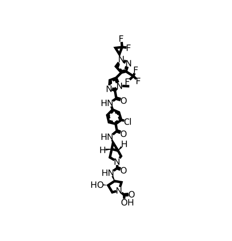 Cn1c(-c2cn([C@@H]3CC3(F)F)nc2C(F)(F)F)cnc1C(=O)Nc1ccc(C(=O)N[C@H]2[C@@H]3CN(C(=O)N[C@H]4CN(C(=O)O)C[C@@H]4O)C[C@@H]32)c(Cl)c1